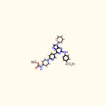 CCOC(=O)c1ccc(Nc2nc(-c3ccc(N4CCC(NC(=O)OC(C)(C)C)CC4)nc3)c3ncn(C4CCCCO4)c3n2)cc1